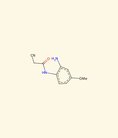 COc1ccc(NC(=O)CC#N)c(N)c1